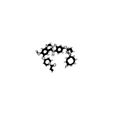 C=CC(=O)N1CCC(Oc2cc3c(Nc4ccc(Oc5ccn(C6=C/C=C(/F)CC/C=C\6)n5)cc4F)ncnc3cc2OC)CC1